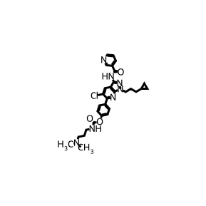 CN(C)CCCNC(=O)Oc1ccc(-c2nc3c(cc2Cl)c(NC(=O)c2cccnc2)nn3CCCC2CC2)cc1